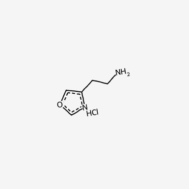 Cl.NCCc1cocn1